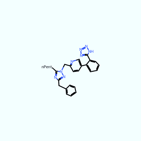 CCCCCc1nc(Cc2ccccc2)nn1Cc1ccc(-c2ccccc2-c2nnn[nH]2)cn1